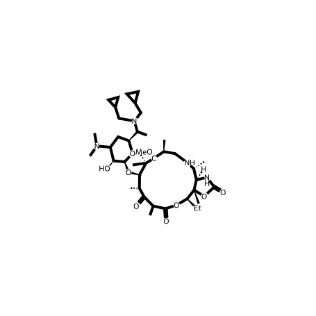 CC[C@H]1OC(=O)C(C)C(=O)[C@H](C)[C@@H](O[C@@H]2O[C@H](C(C)N(CC3CC3)CC3CC3)CC(N(C)C)[C@H]2O)[C@](C)(OC)C[C@@H](C)CN[C@H](C)[C@H]2NC(=O)O[C@@]21C